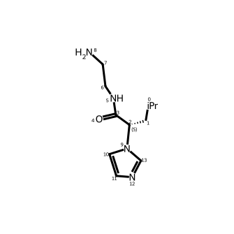 CC(C)C[C@@H](C(=O)NCCN)n1ccnc1